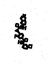 O=C(Nc1cccc(Cl)c1)c1ccc(C2CC2C(=O)Nc2ccc3cnccc3c2)c(F)c1